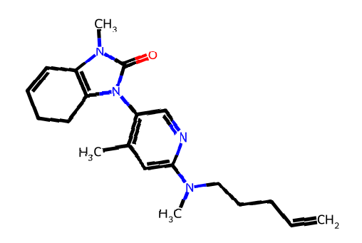 C=CCCCN(C)c1cc(C)c(-n2c3c(n(C)c2=O)C=CCC3)cn1